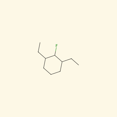 CCC1CCCC(CC)C1F